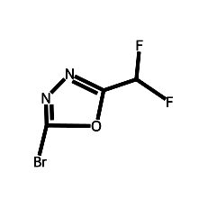 FC(F)c1nnc(Br)o1